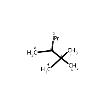 C[C](C(C)C)C(C)(C)C